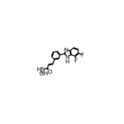 O=C(/C=C/c1cccc(-c2nc3ccc(F)c(F)c3[nH]2)c1)NO